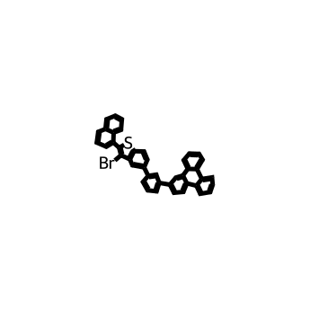 Brc1c(-c2cccc3ccccc23)sc2ccc(-c3cccc(-c4ccc5c6ccccc6c6ccccc6c5c4)c3)cc12